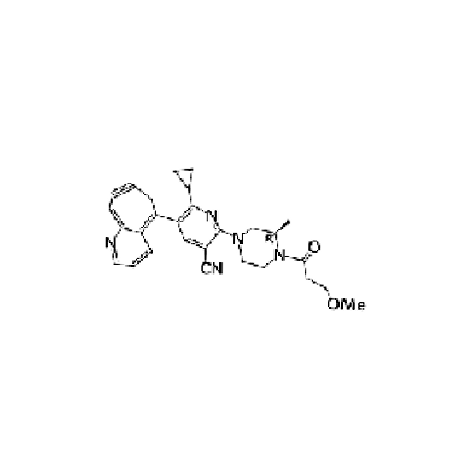 COCCC(=O)N1CCN(c2nc(C3CC3)c(C3=c4cccnc4=CC#CC3)cc2C#N)C[C@H]1C